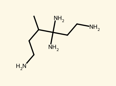 CC(CCN)C(N)(N)CCN